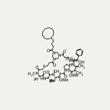 C=C(N[C@H](C)[C@@H](O)c1ccccc1)[C@H](C)[C@@H](OC)[C@@H]1CCCN1C(=O)C[C@@H](OC)[C@H]([C@@H](C)CC)N(C)C(=O)[C@@H](NC(=O)[C@H](C(C)C)N(C)C(=O)CSCCC(=O)N1CN(C(=O)CCSC)CN(C(=O)CCSC2CCCCCCCCC2)C1)C(C)C